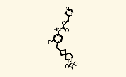 CS(=O)(=O)N1CCC2(CC(Cc3ccc(NC(=O)OCc4cnco4)cc3F)C2)C1